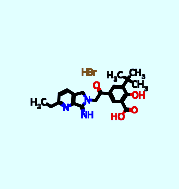 Br.CCc1ccc2c(n1)C(=N)N(CC(=O)c1cc(C(=O)O)c(O)c(C(C)(C)C)c1)C2